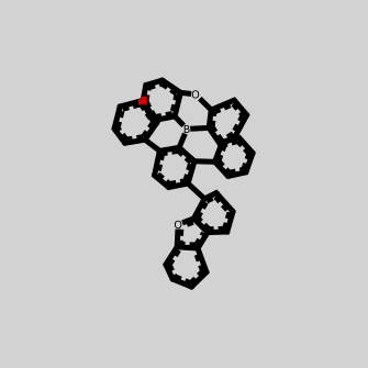 c1ccc(-c2ccc(-c3cccc4c3oc3ccccc34)c(-c3ccccc3)c2B2c3ccccc3Oc3ccccc32)cc1